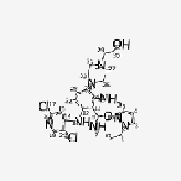 CCn1cccn1.CNC(=O)c1c(Nc2cc(Cl)ncc2Cl)ccc(N2CCN(CCO)CC2)c1N